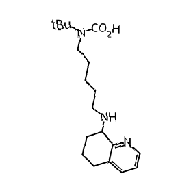 CC(C)(C)N(CCCCCNC1CCCc2cccnc21)C(=O)O